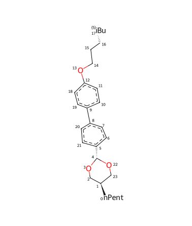 CCCCC[C@H]1CO[C@H](c2ccc(-c3ccc(OCCC[C@@H](C)CC)cc3)cc2)OC1